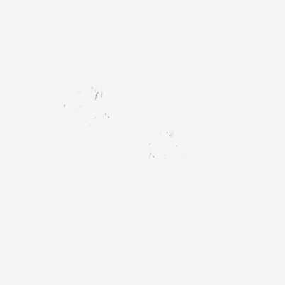 Nc1ccccc1NC(=O)CCCCCNC(=O)c1n[nH]c2ccccc12